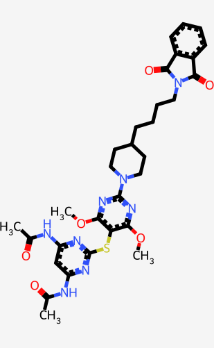 COc1nc(N2CCC(CCCCN3C(=O)c4ccccc4C3=O)CC2)nc(OC)c1Sc1nc(NC(C)=O)cc(NC(C)=O)n1